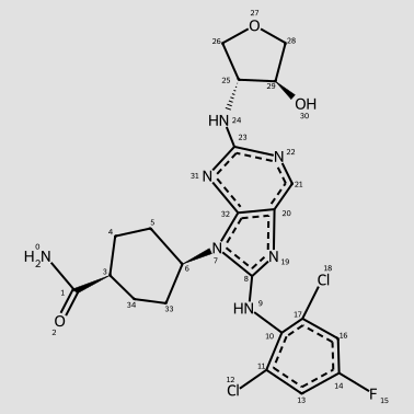 NC(=O)[C@H]1CC[C@@H](n2c(Nc3c(Cl)cc(F)cc3Cl)nc3cnc(N[C@@H]4COC[C@H]4O)nc32)CC1